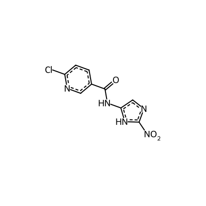 O=C(Nc1cnc([N+](=O)[O-])[nH]1)c1ccc(Cl)nc1